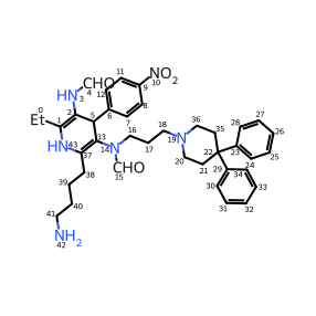 CCC1=C(NC=O)C(c2ccc([N+](=O)[O-])cc2)C(N(C=O)CCCN2CCC(c3ccccc3)(c3ccccc3)CC2)=C(CCCCN)N1